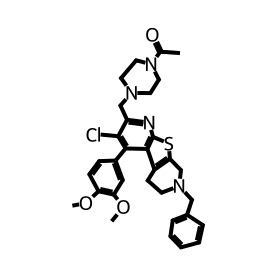 COc1ccc(-c2c(Cl)c(CN3CCN(C(C)=O)CC3)nc3sc4c(c23)CCN(Cc2ccccc2)C4)cc1OC